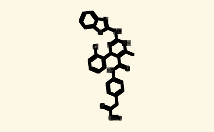 COC(=O)Cc1ccc(NC(=O)C2=C(C)NC(Nc3nc4ccccc4o3)=NC2c2ccccc2Cl)cc1